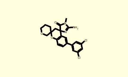 CN1C(=O)C2(CC3(CCCOC3)Oc3ccc(-c4cc(Cl)cc(Cl)c4)cc32)N=C1N